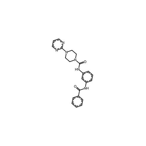 O=C(Nc1cccc(NC(=O)N2CCN(c3ncccn3)CC2)c1)c1ccccc1